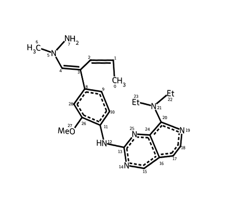 C/C=C\C(=C/N(C)N)c1ccc(Nc2ncc3ccnc(N(CC)CC)c3n2)c(OC)c1